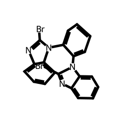 Brc1nc2ccccc2n1-c1ccccc1-n1c(Br)nc2ccccc21